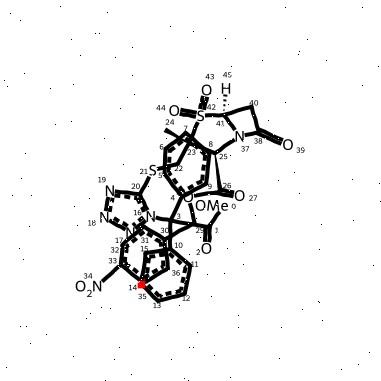 COC(=O)C(c1ccccc1)(c1ccccc1)n1nnnc1SC[C@@]1(C)[C@H](C(=O)OCc2ccc([N+](=O)[O-])cc2)N2C(=O)C[C@@H]2S1(=O)=O